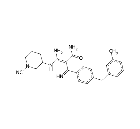 Cc1cccc(Cc2ccc(C(=N)/C(C(N)=O)=C(/N)NC3CCCN(C#N)C3)cc2)c1